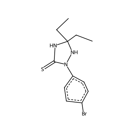 CCC1(CC)NC(=S)N(c2ccc(Br)cc2)N1